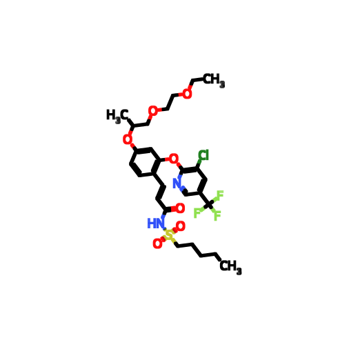 CCCCCS(=O)(=O)NC(=O)/C=C/c1ccc(OC(C)COCCOCC)cc1Oc1ncc(C(F)(F)F)cc1Cl